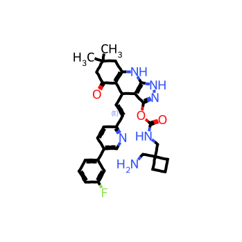 CC1(C)CC(=O)C2=C(C1)Nc1[nH]nc(OC(=O)NCC3(CN)CCC3)c1C2/C=C/c1ccc(-c2cccc(F)c2)cn1